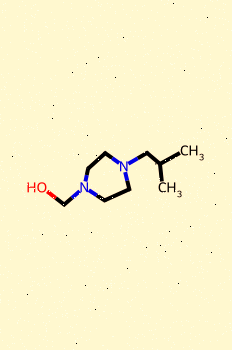 C[C](C)CN1CCN(CO)CC1